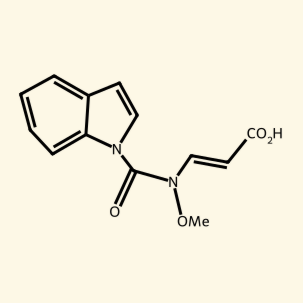 CON(C=CC(=O)O)C(=O)n1ccc2ccccc21